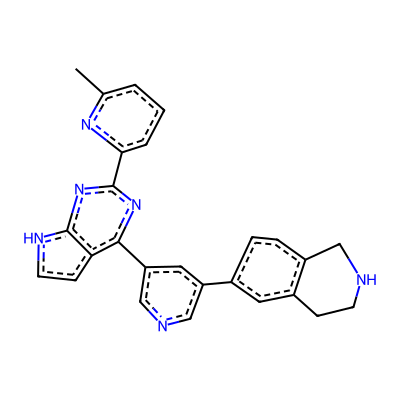 Cc1cccc(-c2nc(-c3cncc(-c4ccc5c(c4)CCNC5)c3)c3cc[nH]c3n2)n1